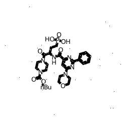 CCCCOC(=O)N1CCN(C(=O)C(CCP(=O)(O)O)NC(=O)c2cc(N3CCOCC3)nc(-c3ccccc3)n2)CC1